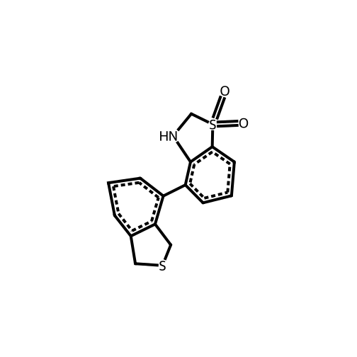 O=S1(=O)CNc2c(-c3cccc4c3CSC4)cccc21